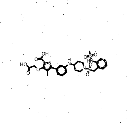 Cc1c(-c2cccc(NC3CCN(S(=O)(=O)Cc4ccccc4NS(C)(=O)=O)CC3)c2)sc(C(=O)O)c1OCC(=O)O